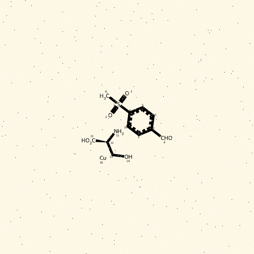 CS(=O)(=O)c1ccc(C=O)cc1.N[C@@H](CO)C(=O)O.[Cu]